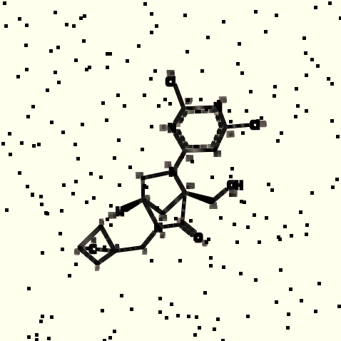 O=C1N(CC23CC(C2)C3)[C@@H]2CN(c3cc(Cl)nc(Cl)n3)[C@@]1(CO)C2